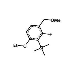 CCOc1ccc(COC)c(F)c1[Si](C)(C)C